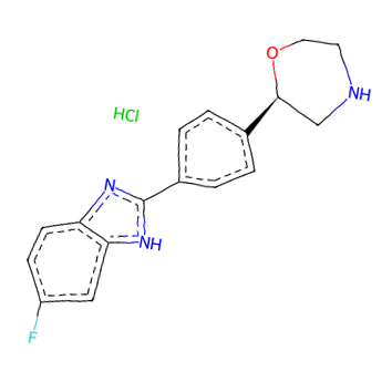 Cl.Fc1ccc2nc(-c3ccc([C@@H]4CNCCO4)cc3)[nH]c2c1